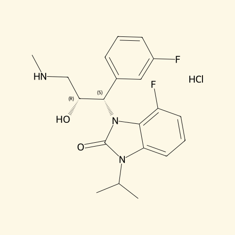 CNC[C@@H](O)[C@H](c1cccc(F)c1)n1c(=O)n(C(C)C)c2cccc(F)c21.Cl